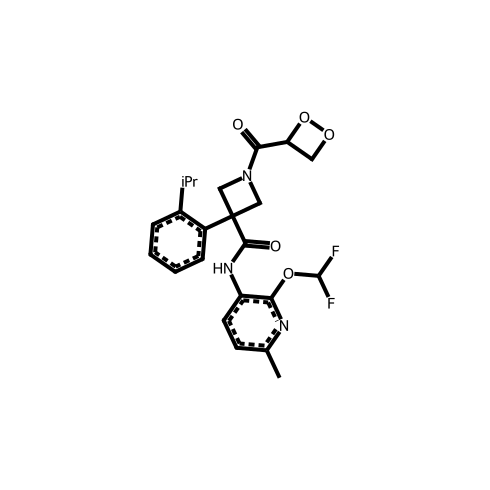 Cc1ccc(NC(=O)C2(c3ccccc3C(C)C)CN(C(=O)C3COO3)C2)c(OC(F)F)n1